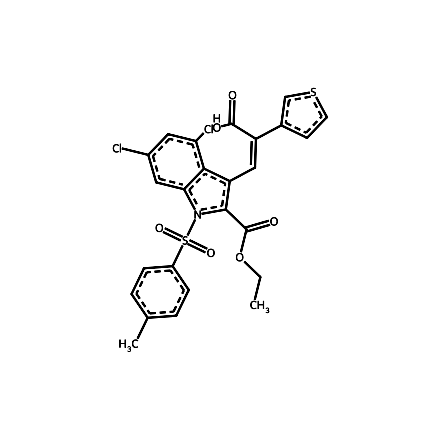 CCOC(=O)c1c(C=C(C(=O)O)c2ccsc2)c2c(Cl)cc(Cl)cc2n1S(=O)(=O)c1ccc(C)cc1